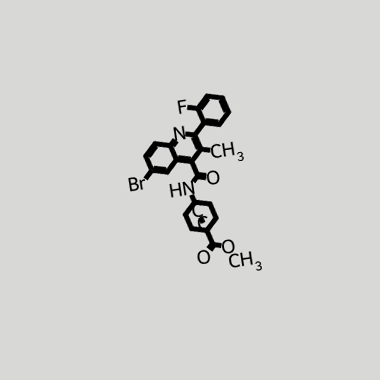 COC(=O)C12CCC(NC(=O)c3c(C)c(-c4ccccc4F)nc4ccc(Br)cc34)(CC1)CC2